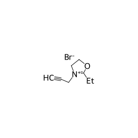 C#CC[N+]1=C(CC)OCC1.[Br-]